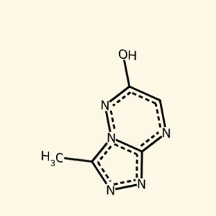 Cc1nnc2ncc(O)nn12